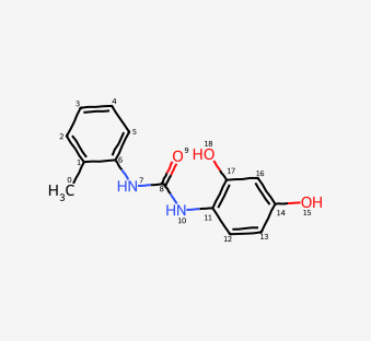 Cc1ccccc1NC(=O)Nc1ccc(O)cc1O